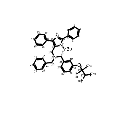 CCCCn1c(-c2ccccc2)nc(-c2ccccc2)c1CN(Cc1ccccc1)Cc1cccc(OC(F)(F)C(F)F)c1